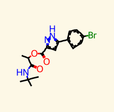 CC(OC(=O)c1cc(-c2ccc(Br)cc2)[nH]n1)C(=O)NC(C)(C)C